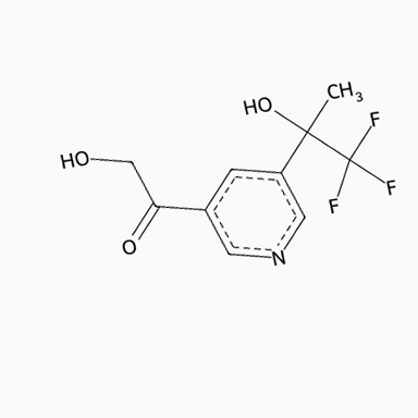 CC(O)(c1cncc(C(=O)CO)c1)C(F)(F)F